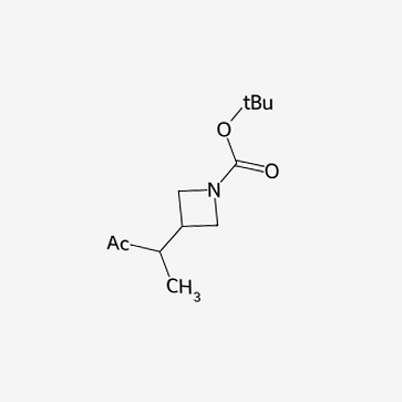 CC(=O)C(C)C1CN(C(=O)OC(C)(C)C)C1